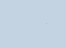 COC(=O)C1(C(C)CS(=O)(=O)c2ccc(C)cc2)COCCO1